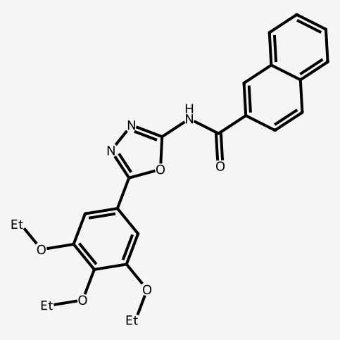 CCOc1cc(-c2nnc(NC(=O)c3ccc4ccccc4c3)o2)cc(OCC)c1OCC